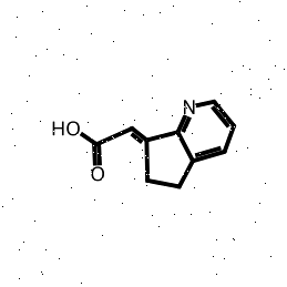 O=C(O)C=C1CCc2cccnc21